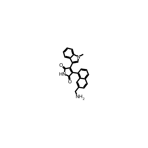 Cn1cc(C2=C(c3cccc4ccc(CN)cc34)C(=O)NC2=O)c2ccccc21